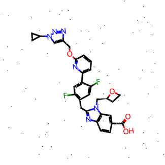 O=C(O)c1ccc2nc(Cc3cc(F)c(-c4cccc(OCc5cn(C6CC6)nn5)n4)cc3F)n(C[C@@H]3CCO3)c2c1